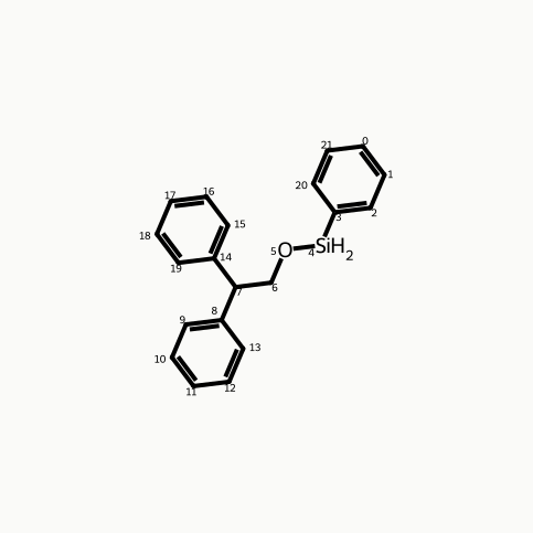 c1ccc([SiH2]OCC(c2ccccc2)c2ccccc2)cc1